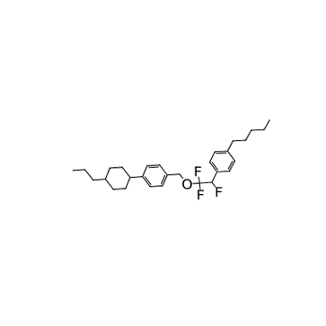 CCCCCc1ccc(C(F)C(F)(F)OCc2ccc(C3CCC(CCC)CC3)cc2)cc1